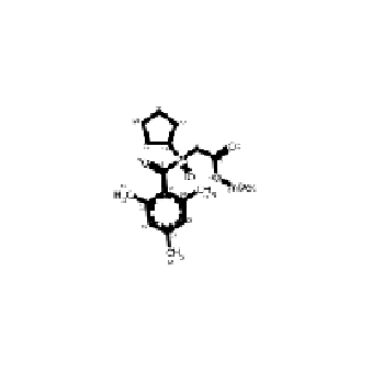 CCCCCCCCCCOC(=O)CP(=O)(C(=O)c1c(C)cc(C)cc1C)C1CCCC1